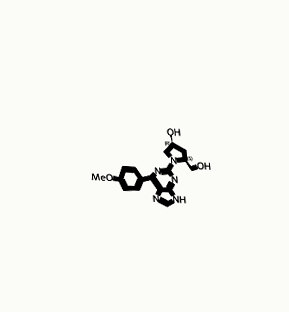 COc1ccc(-c2nc(N3C[C@H](O)C[C@H]3CO)nc3[nH]cnc23)cc1